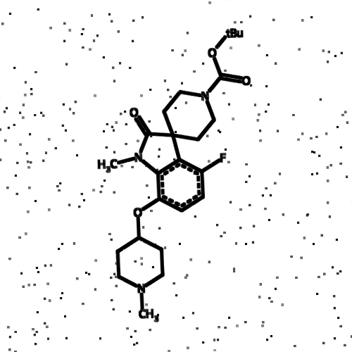 CN1CCC(Oc2ccc(F)c3c2N(C)C(=O)C32CCN(C(=O)OC(C)(C)C)CC2)CC1